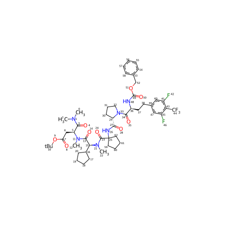 CN(C)C(=O)[C@H](CC(=O)OC(C)(C)C)N(C)C(=O)[C@H](C1CCCC1)N(C)C(=O)C1(NC(=O)[C@@H]2CCCN2C(=O)[C@H](CCc2cc(F)c(C(F)(F)F)c(F)c2)NC(=O)OCc2ccccc2)CCCC1